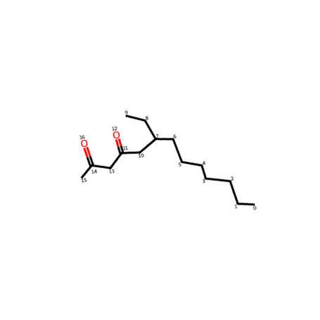 CCCCCCCC(CC)CC(=O)CC(C)=O